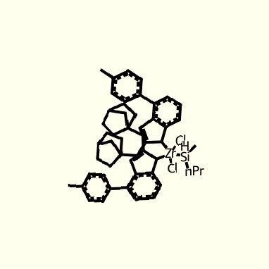 CCC[SiH](C)[Zr]([Cl])([Cl])([CH]1C(CC23CCC(CC2)C3)=Cc2c(-c3ccc(C)cc3)cccc21)[CH]1C(CC23CCC(CC2)C3)=Cc2c(-c3ccc(C)cc3)cccc21